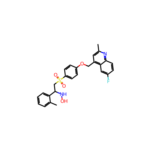 Cc1cc(COc2ccc(S(=O)(=O)CC(NO)c3ccccc3C)cc2)c2cc(F)ccc2n1